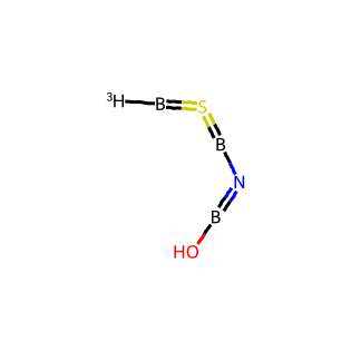 [3H]B=S=B/N=B/O